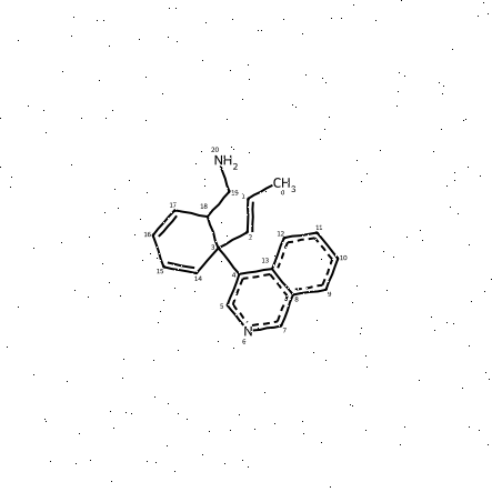 CC=CC1(c2cncc3ccccc23)C=CC=CC1CN